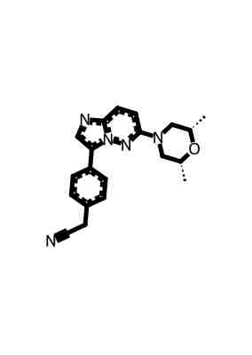 C[C@@H]1CN(c2ccc3ncc(-c4ccc(CC#N)cc4)n3n2)C[C@H](C)O1